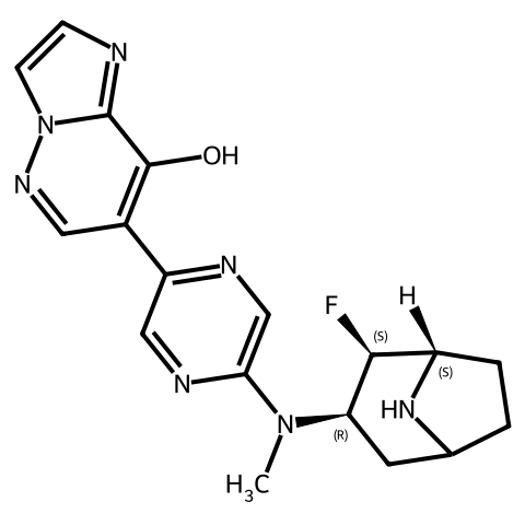 CN(c1cnc(-c2cnn3ccnc3c2O)cn1)[C@@H]1CC2CC[C@H](N2)[C@@H]1F